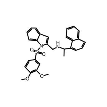 COc1ccc(S(=O)(=O)n2c(CNC(C)c3cccc4ccccc34)cc3ccccc32)cc1OC